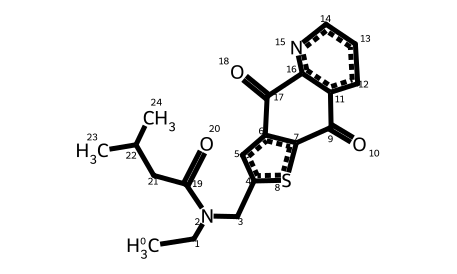 CCN(Cc1cc2c(s1)C(=O)c1cccnc1C2=O)C(=O)CC(C)C